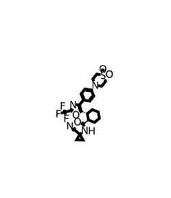 N#CC1(NC(=O)[C@@H]2CCCC[C@H]2c2oc(C(F)(F)F)nc2-c2ccc(N3CCS(=O)(=O)CC3)cc2)CC1